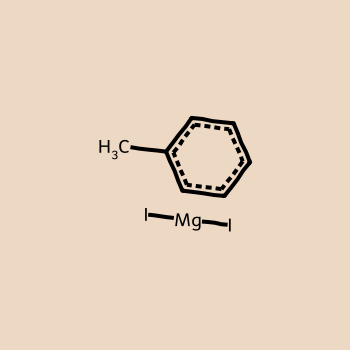 Cc1ccccc1.[I][Mg][I]